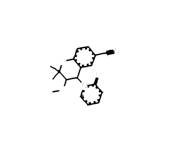 COC1C(n2ccccc2=O)c2cc(C#N)ccc2OC1(C)C